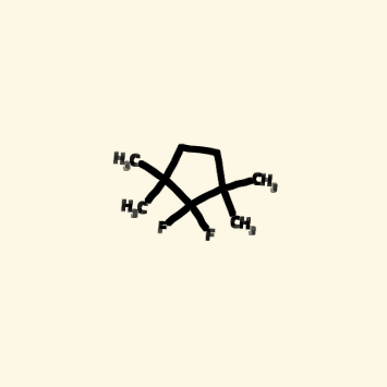 CC1(C)CCC(C)(C)C1(F)F